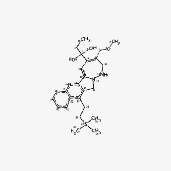 CCC(O)(O)C1=C(COC)CNN2Cc3c(nc4ccccc4c3CCS(C)(C)C)C2=C1